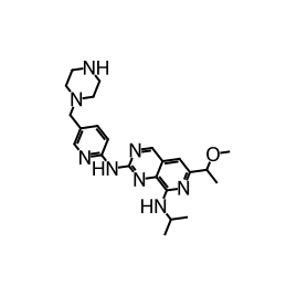 COC(C)c1cc2cnc(Nc3ccc(CN4CCNCC4)cn3)nc2c(NC(C)C)n1